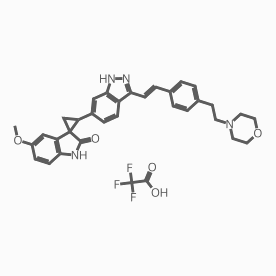 COc1ccc2c(c1)C1(CC1c1ccc3c(/C=C/c4ccc(CCN5CCOCC5)cc4)n[nH]c3c1)C(=O)N2.O=C(O)C(F)(F)F